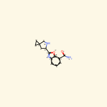 NC(=O)c1cccc2nc(C3CC4(CC4)CN3)oc12